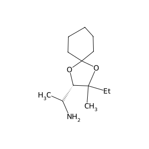 CCC1(C)OC2(CCCCC2)O[C@H]1C(C)N